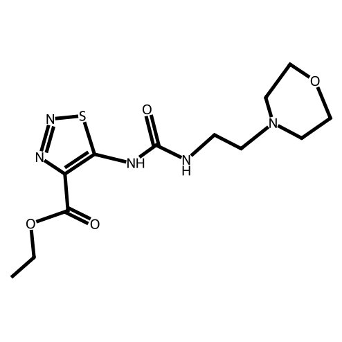 CCOC(=O)c1nnsc1NC(=O)NCCN1CCOCC1